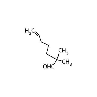 C=CCCCC(C)(C)C=O